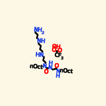 CCCCCCCCNC(=O)CNC(=O)N(CCCCCCCC)CCCNCCCCNCCCN.O=C(OO)C(F)(F)F